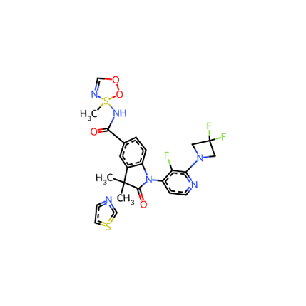 CC1(C)C(=O)N(c2ccnc(N3CC(F)(F)C3)c2F)c2ccc(C(=O)NS3(C)N=COO3)cc21.c1cscn1